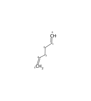 [CH]=CCC[C]=C